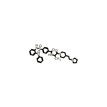 CC(NC(=O)c1ccc(S(=O)(=O)Nc2ccccc2Oc2ccccc2)cc1)C(=O)N1CCC(CCN2CCCC2)CC1